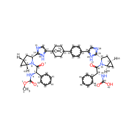 COC(=O)N[C@@H](C(=O)N1[C@@H]2C[C@@H]2C[C@H]1c1ncc(C23CCC(c4ccc(-c5cnc([C@@H]6C[C@H]7C[C@H]7N6C(=O)[C@H](NC(=O)O)c6ccccc6)[nH]5)cc4)(CC2)CC3)[nH]1)c1ccccc1